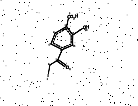 O=C(CI)c1ccc(C(=O)O)c(O)c1